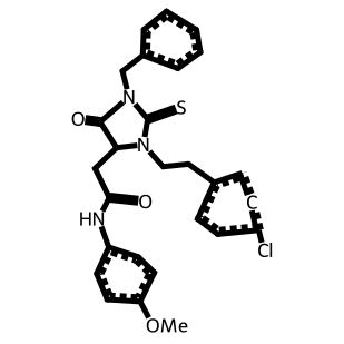 COc1ccc(NC(=O)CC2C(=O)N(Cc3ccccc3)C(=S)N2CCc2ccc(Cl)cc2)cc1